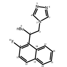 CCCCC(Cn1cnnc1)c1c(F)ccc2ccccc12